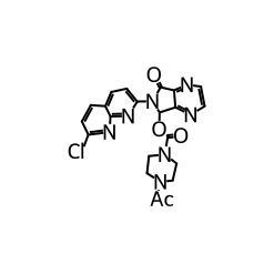 CC(=O)N1CCN(C(=O)OC2c3nccnc3C(=O)N2c2ccc3ccc(Cl)nc3n2)CC1